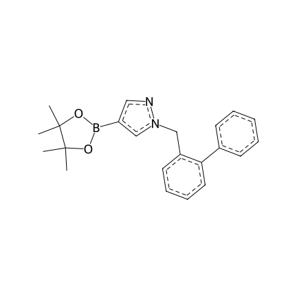 CC1(C)OB(c2cnn(Cc3ccccc3-c3ccccc3)c2)OC1(C)C